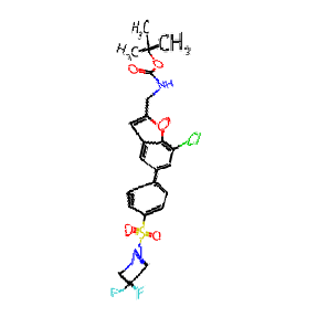 CC(C)(C)OC(=O)NCc1cc2cc(-c3ccc(S(=O)(=O)N4CC(F)(F)C4)cc3)cc(Cl)c2o1